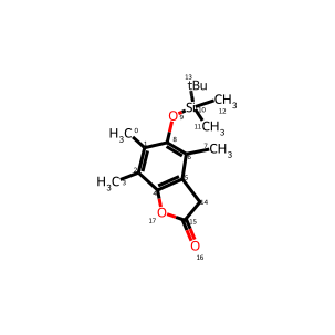 Cc1c(C)c2c(c(C)c1O[Si](C)(C)C(C)(C)C)CC(=O)O2